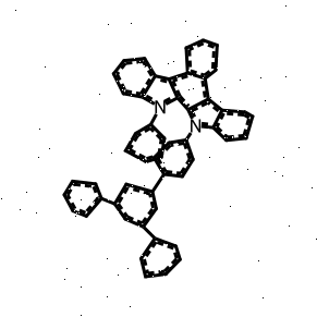 c1ccc(-c2cc(-c3ccccc3)cc(-c3ccc(-n4c5ccccc5c5c6ccccc6c6c7ccccc7n(-c7ccccc7)c6c54)cc3)c2)cc1